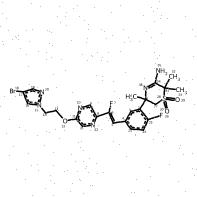 CC1(c2cc(C=C(F)c3cnc(OCCn4cc(Br)cn4)cn3)ccc2F)CS(=O)(=O)C(C)(C)C(N)=N1